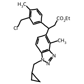 CCOC(=O)CC(c1ccc(C)c(CCl)c1)c1ccc2c(nnn2CC2CC2)c1C